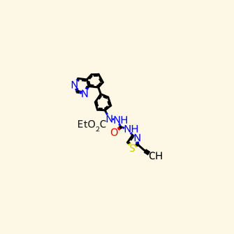 C#Cc1nc(NC(=O)NN(C(=O)OCC)c2ccc(-c3cccc4cncnc34)cc2)cs1